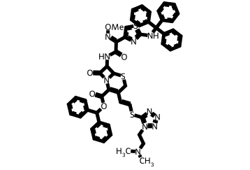 CON=C(C(=O)NC1C(=O)N2C(C(=O)OC(c3ccccc3)c3ccccc3)=C(C=CSc3nnnn3CCN(C)C)CSC12)c1csc(NC(c2ccccc2)(c2ccccc2)c2ccccc2)n1